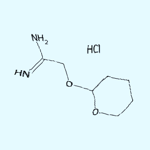 Cl.N=C(N)COC1CCCCO1